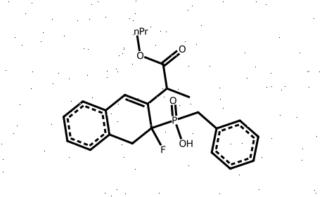 CCCOC(=O)C(C)C1=Cc2ccccc2CC1(F)P(=O)(O)Cc1ccccc1